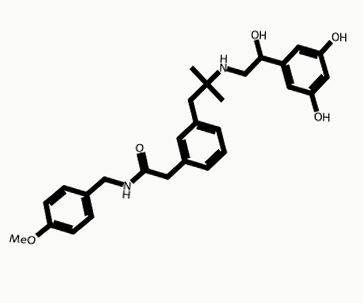 COc1ccc(CNC(=O)Cc2cccc(CC(C)(C)NCC(O)c3cc(O)cc(O)c3)c2)cc1